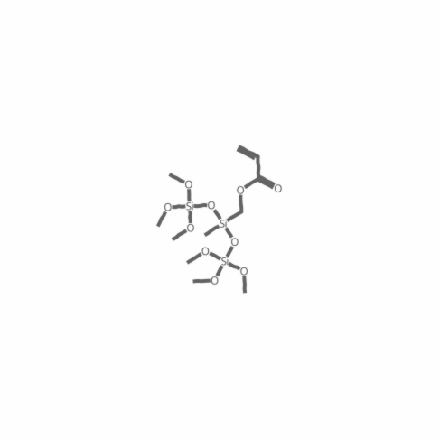 C=CC(=O)OC[Si](C)(O[Si](OC)(OC)OC)O[Si](OC)(OC)OC